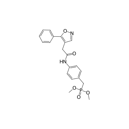 COP(=O)(Cc1ccc(NC(=O)Cc2cnoc2-c2ccccc2)cc1)OC